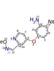 CNc1ccc(Oc2ccnc(/C=N\OC)c2)cc1N